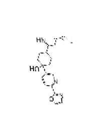 C[CH]CC(=N)C1CCC(O)(c2ccc(-c3ncco3)nc2)CC1